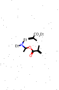 C=C(C)C(=O)OC(C)N(CC)CC.C=C(C)C(=O)OCC